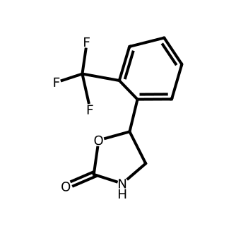 O=C1NCC(c2ccccc2C(F)(F)F)O1